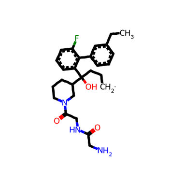 [CH2]CCC(O)(c1cccc(F)c1-c1cccc(CC)c1)C1CCCN(C(=O)CNC(=O)CN)C1